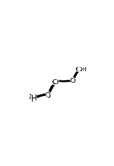 [2H]OOOO